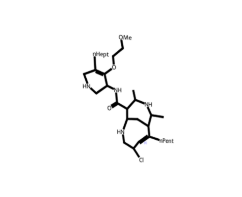 CCCCCCCC1=C(OCCOC)C(NC(=O)C2C(C)NC(C)C3CC2NCC(Cl)/C=C/3CCCCC)CNC1